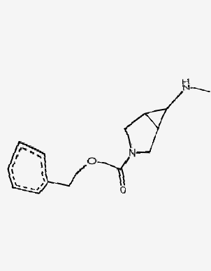 CNC1C2CN(C(=O)OCc3ccccc3)CC21